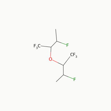 CC(F)C(OC(C(C)F)C(F)(F)F)C(F)(F)F